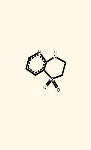 O=S1(=O)CCNc2ncccc21